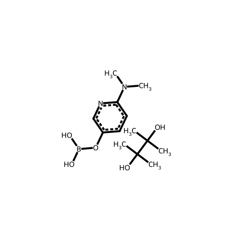 CC(C)(O)C(C)(C)O.CN(C)c1ccc(OB(O)O)cn1